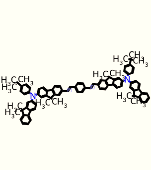 CC(C)(C)c1ccc(N(c2ccc3c(c2)C(C)(C)c2ccccc2-3)c2ccc3c(c2)C(C)(C)c2cc(/C=C/c4ccc(/C=C/c5ccc6c(c5)C(C)(C)c5cc(N(c7ccc(C(C)(C)C)cc7)c7ccc8c(c7)C(C)(C)c7ccccc7-8)ccc5-6)cc4)ccc2-3)cc1